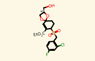 CCOC(=O)C1=CC2(CCC1S(=O)(=O)Cc1ccc(F)cc1Cl)OC[C@@H](CO)O2